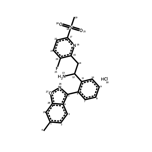 Cc1ccc2c(-c3ccccc3C(N)Cc3nc(S(C)(=O)=O)ccc3F)noc2c1.Cl